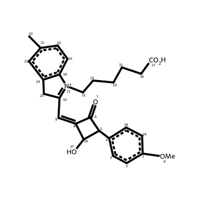 COc1ccc(C2C(=O)/C(=C\C3=[N+](CCCCCC(=O)O)c4ccc(C)cc4C3)C2O)cc1